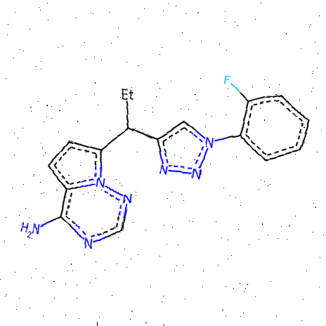 CCC(c1cn(-c2ccccc2F)nn1)c1ccc2c(N)ncnn12